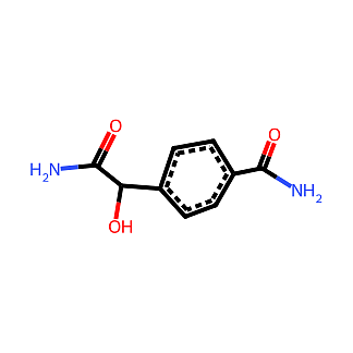 NC(=O)c1ccc(C(O)C(N)=O)cc1